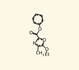 CCOc1oc(C(=O)Oc2ccccc2)nc1C